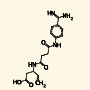 C=CC(CC(=O)O)NC(=O)CCC(=O)Nc1ccc(C(=N)N)cc1